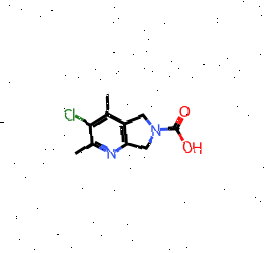 Cc1nc2c(c(C)c1Cl)CN(C(=O)O)C2